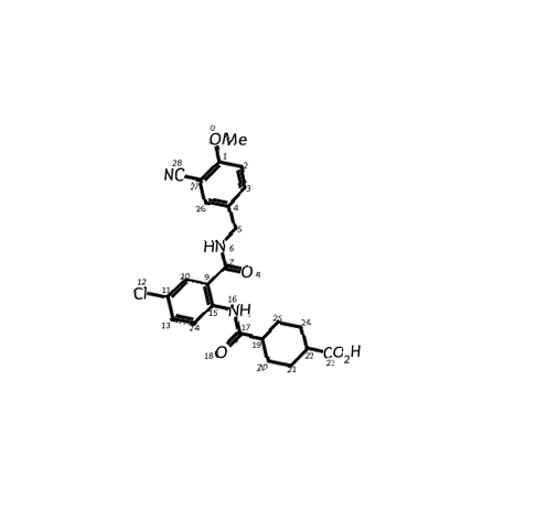 COc1ccc(CNC(=O)c2cc(Cl)ccc2NC(=O)C2CCC(C(=O)O)CC2)cc1C#N